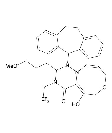 COCCCC1N(CC(F)(F)F)C(=O)/C2=C(\O)COC/C=C\N2N1C1c2ccccc2CCc2ccccc21